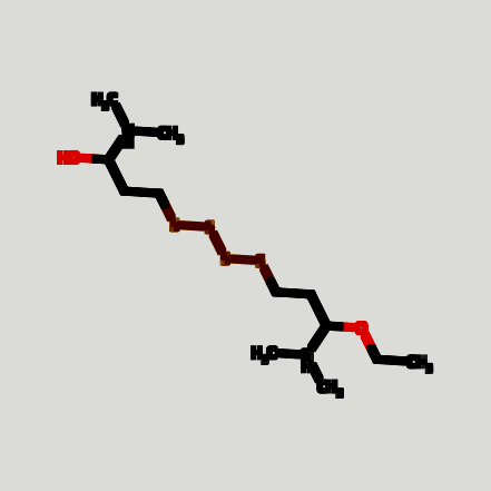 CCOC(CCSSSSCCC(O)[SiH](C)C)[SiH](C)C